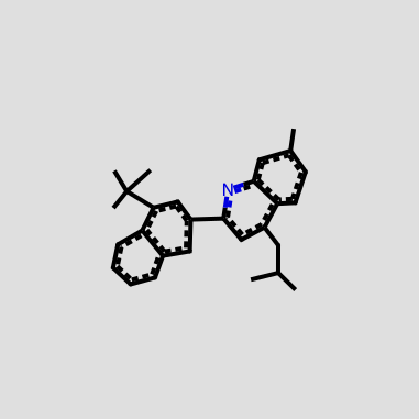 Cc1ccc2c(CC(C)C)cc(-c3cc(C(C)(C)C)c4ccccc4c3)nc2c1